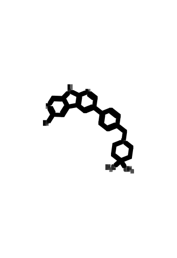 CC1(C)CCN(Cc2ccc(-c3cnc4[nH]c5cnc(Br)cc5c4c3)cc2)CC1